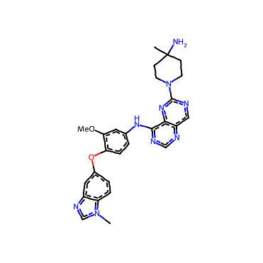 COc1cc(Nc2ncnc3cnc(N4CCC(C)(N)CC4)nc23)ccc1Oc1ccc2c(c1)ncn2C